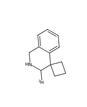 [2H]C1NCc2ccccc2C12CCC2